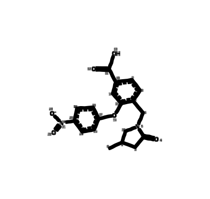 CC1CC(=O)N(Cc2ccc(C(=O)O)cc2Oc2ccc([N+](=O)[O-])cc2)C1